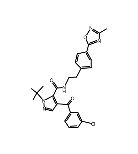 Cc1noc(-c2ccc(CCNC(=O)c3c(C(=O)c4cccc(Cl)c4)cnn3C(C)(C)C)cc2)n1